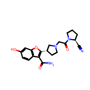 N#C[C@@H]1CCCN1C(=O)CN1CC[C@H](c2oc3cc(O)ccc3c2C(N)=O)C1